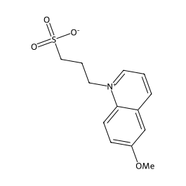 COc1ccc2c(ccc[n+]2CCCS(=O)(=O)[O-])c1